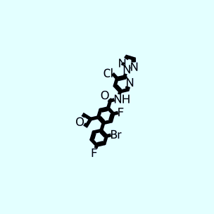 O=C(Nc1cnc(-n2nccn2)c(Cl)c1)c1cc(C2COC2)c(-c2ccc(F)cc2Br)cc1F